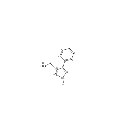 Cn1cc(-c2ccccc2)c(CO)n1